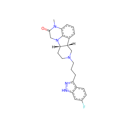 CN1C(=O)CN2c3c(cccc31)[C@@H]1CN(CCCc3n[nH]c4cc(F)ccc34)CC[C@@H]12